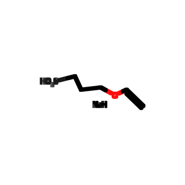 C=COCCCS(=O)(=O)O.[NaH]